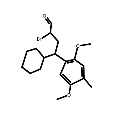 COc1cc(C(CC(Br)C=O)C2CCCCC2)c(OC)cc1C